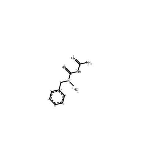 Cl.N=C(N)NC(=N)N(I)Cc1ccccc1